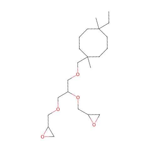 CCC1(C)CCCC(C)(COCC(COCC2CO2)OCC2CO2)CCC1